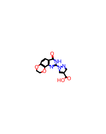 O=C(O)c1cnn(-c2nc3c4c(ccc3c(=O)[nH]2)OCCO4)c1